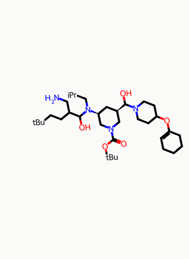 CC(C)CN(C(O)C(CN)CCC(C)(C)C)[C@H]1C[C@@H](C(O)N2CCC(OC3=CCCCC3)CC2)CN(C(=O)OC(C)(C)C)C1